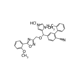 COc1ccccc1-c1nc(COC(c2ccc(C#N)c(-c3ccccc3C)c2)c2cncn2C)no1.Cl